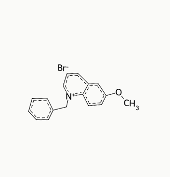 COc1ccc2c(ccc[n+]2Cc2ccccc2)c1.[Br-]